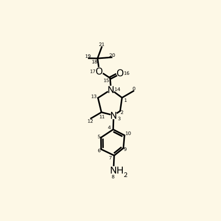 CC1CN(c2ccc(N)cc2)C(C)CN1C(=O)OC(C)(C)C